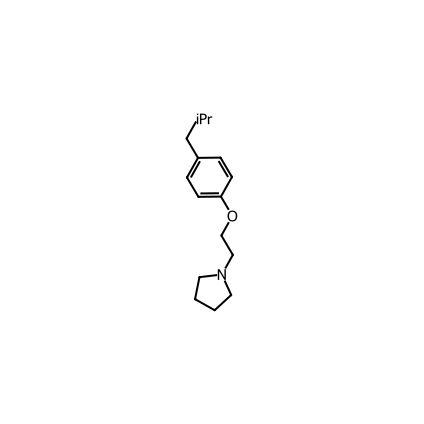 CC(C)Cc1ccc(OCCN2CCCC2)cc1